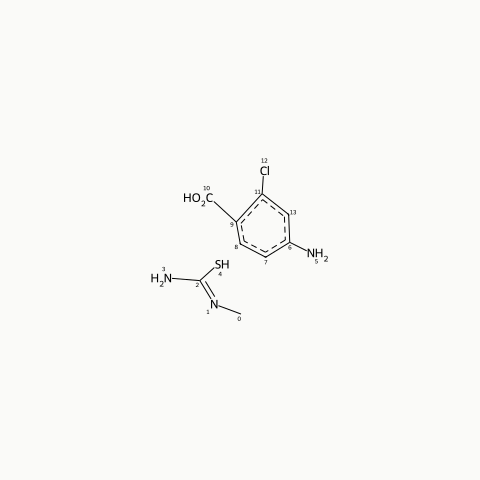 CN=C(N)S.Nc1ccc(C(=O)O)c(Cl)c1